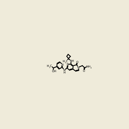 CC(O)c1ccnc(Nc2cc3ccn(CC(N)=O)c(=O)c3c(NC3(C)CCC3)n2)c1